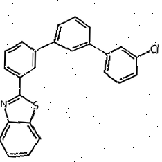 Clc1cccc(-c2cccc(-c3cccc(-c4nc5ccccc5s4)c3)c2)c1